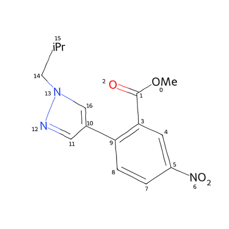 COC(=O)c1cc([N+](=O)[O-])ccc1-c1cnn(CC(C)C)c1